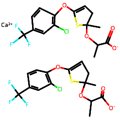 CC(OC1(C)CC=C(Oc2ccc(C(F)(F)F)cc2Cl)S1)C(=O)[O-].CC(OC1(C)CC=C(Oc2ccc(C(F)(F)F)cc2Cl)S1)C(=O)[O-].[Ca+2]